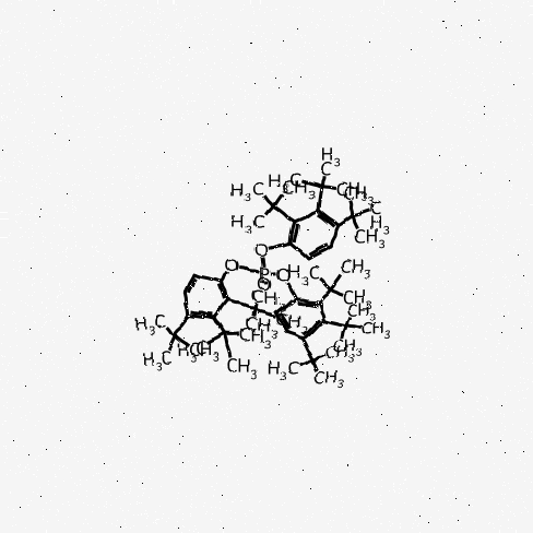 CC(C)(C)c1ccc(OP(=O)(Oc2ccc(C(C)(C)C)c(C(C)(C)C)c2C(C)(C)C)Oc2ccc(C(C)(C)C)c(C(C)(C)C)c2C(C)(C)C)c(C(C)(C)C)c1C(C)(C)C